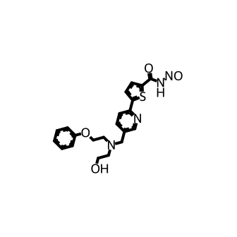 O=NNC(=O)c1ccc(-c2ccc(CN(CCO)CCOc3ccccc3)cn2)s1